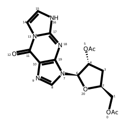 CC(=O)OC[C@@H]1C[C@@H](OC(C)=O)[C@H](n2cnc3c(=O)n4cc[nH]c4nc32)O1